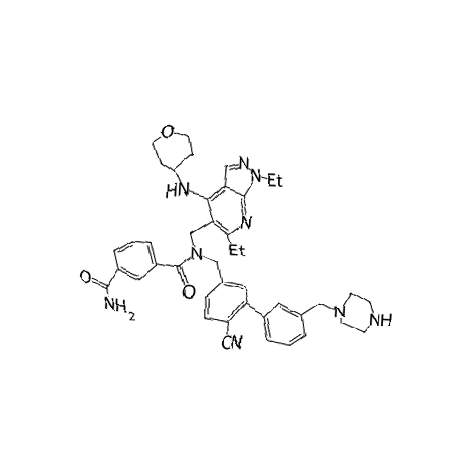 CCc1nc2c(cnn2CC)c(NC2CCOCC2)c1CN(Cc1ccc(C#N)c(-c2cccc(CN3CCNCC3)c2)c1)C(=O)c1cccc(C(N)=O)c1